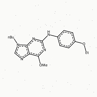 CCCCn1cnc2c(OC)nc(Nc3ccc(OCC)cc3)nc21